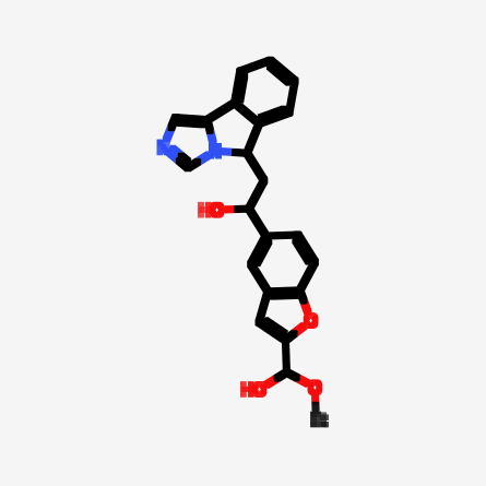 CCOC(O)c1cc2cc(C(O)CC3c4ccccc4-c4cncn43)ccc2o1